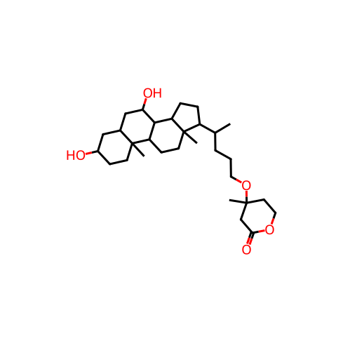 CC(CCCOC1(C)CCOC(=O)C1)C1CCC2C3C(O)CC4CC(O)CCC4(C)C3CCC12C